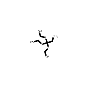 CCC(SCS)(SCS)SCS